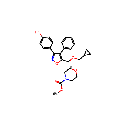 CC(C)(C)OC(=O)N1CCO[C@@H](C(OCC2CC2)c2onc(-c3ccc(O)cc3)c2-c2ccccc2)C1